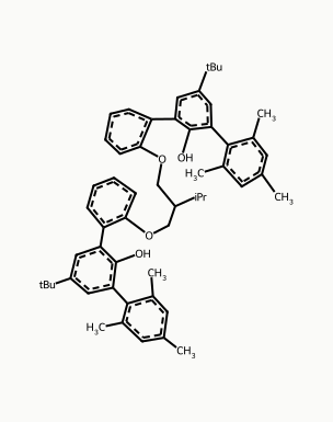 Cc1cc(C)c(-c2cc(C(C)(C)C)cc(-c3ccccc3OCC(COc3ccccc3-c3cc(C(C)(C)C)cc(-c4c(C)cc(C)cc4C)c3O)C(C)C)c2O)c(C)c1